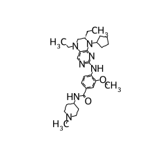 CC[C@@H]1CN(CC)c2cnc(Nc3ccc(C(=O)NC4CCN(C)CC4)cc3OC)nc2N1C1CCCC1